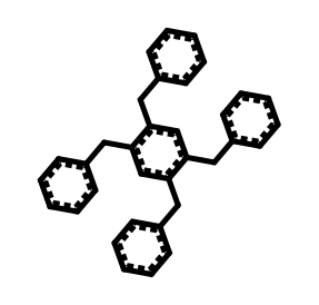 c1ccc(Cc2cc(Cc3ccccc3)c(Cc3ccccc3)cc2Cc2ccccc2)cc1